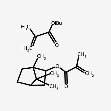 C=C(C)C(=O)OC1CC2CCC1(C)C2(C)C.C=C(C)C(=O)OCC(C)C